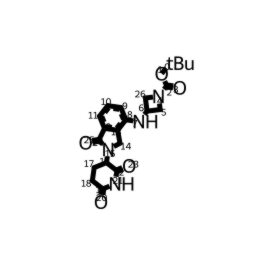 CC(C)(C)OC(=O)N1CC(Nc2cccc3c2CN(C2CCC(=O)NC2=O)C3=O)C1